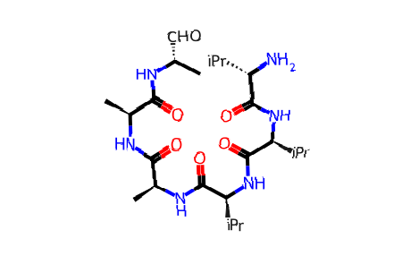 CC(C)[C@H](N)C(=O)N[C@H](C(=O)N[C@H](C(=O)N[C@@H](C)C(=O)N[C@@H](C)C(=O)N[C@@H](C)C=O)C(C)C)C(C)C